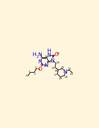 CCCCOc1nc(N)c2[nH]c(=O)n(CCC3CCCN(CC)C3)c2n1